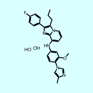 CCCc1c(-c2ccc(F)cc2)nc2c(Nc3ccc(-n4cnc(C)c4)c(OC)c3)cccn12.Cl.Cl